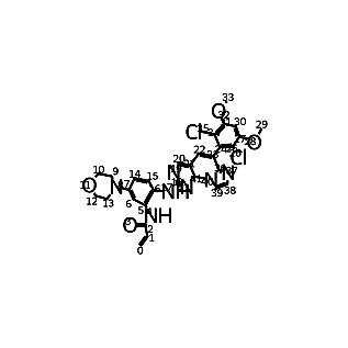 C=CC(=O)Nc1cc(N2CCOCC2)ccc1Nc1ncc2cc(-c3c(Cl)c(OC)cc(OC)c3Cl)c3nccn3c2n1